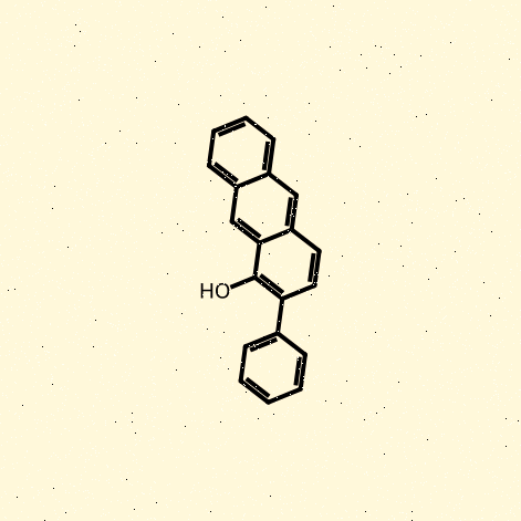 Oc1c(-c2ccccc2)ccc2cc3ccccc3cc12